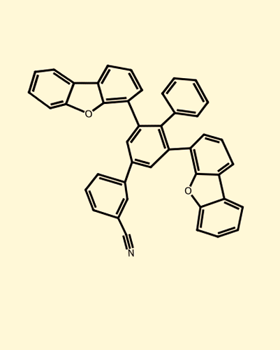 N#Cc1cccc(-c2cc(-c3cccc4c3oc3ccccc34)c(-c3ccccc3)c(-c3cccc4c3oc3ccccc34)c2)c1